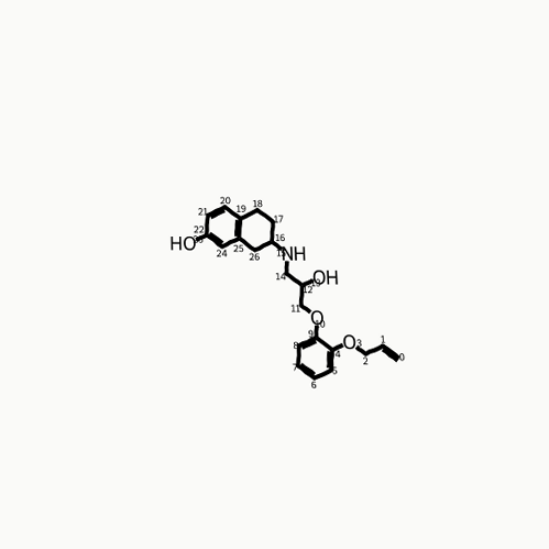 C=CCOc1ccccc1OCC(O)CNC1CCc2ccc(O)cc2C1